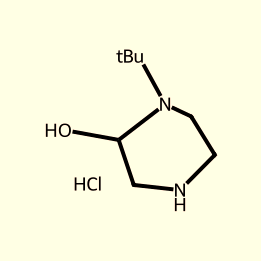 CC(C)(C)N1CCNCC1O.Cl